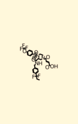 CCC(F)(F)c1ccc(CNC(=O)C2CN(C(=O)C=CC(=O)O)CCN2S(=O)(=O)c2ccc(OC(F)(F)F)cc2)cc1